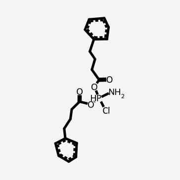 N[PH](Cl)(OC(=O)CCCc1ccccc1)OC(=O)CCCc1ccccc1